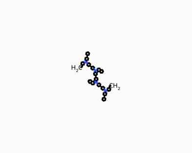 C=Cc1cccc(N(c2ccc(-c3ccccc3)cc2)c2ccc(-c3ccc(-n4c5ccc(-c6ccc7c(c6)c6c8ccccc8ccc6n7-c6ccc(-c7ccc(N(c8ccc(-c9ccccc9)cc8)c8cccc(C=C)c8)cc7)cc6)cc5c5c6cc#ccc6ccc54)cc3)cc2)c1